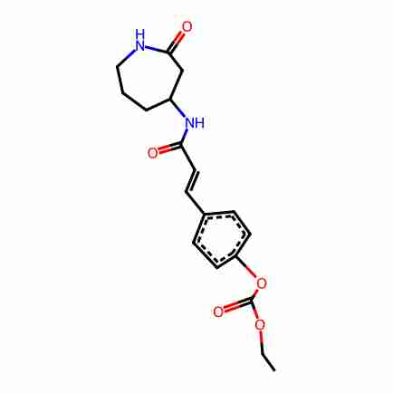 CCOC(=O)Oc1ccc(C=CC(=O)NC2CCCNC(=O)C2)cc1